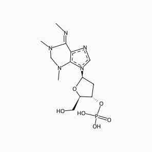 CN=C1c2ncn([C@H]3C[C@H](OP(=O)(O)O)[C@@H](CO)O3)c2N(C)CN1C